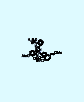 CCCCCCCCS(=O)(=O)Nc1cc(OC)ccc1C1=NC(c2ccccc2NS(C)(=O)=O)=N/C1=N\c1ccc2c(c1C)CCCN2CCOC